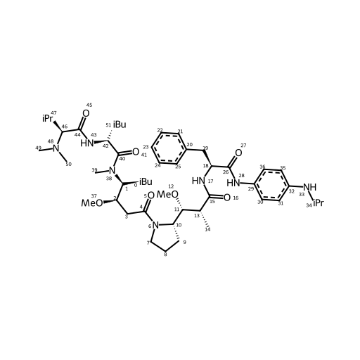 CC[C@H](C)[C@@H]([C@@H](CC(=O)N1CCC[C@H]1[C@H](OC)[C@@H](C)C(=O)N[C@@H](Cc1ccccc1)C(=O)Nc1ccc(NC(C)C)cc1)OC)N(C)C(=O)[C@@H](NC(=O)[C@H](C(C)C)N(C)C)[C@@H](C)CC